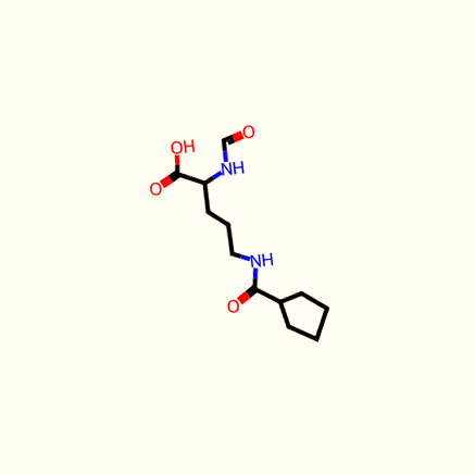 O=CNC(CCCNC(=O)C1CCCC1)C(=O)O